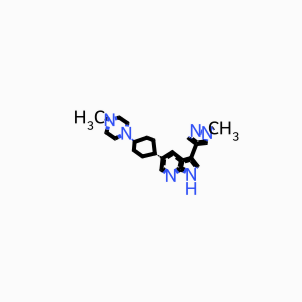 CN1CCN([C@H]2CC[C@@H](c3cnc4[nH]cc(-c5cnn(C)c5)c4c3)CC2)CC1